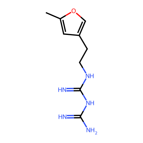 Cc1cc(CCNC(=N)NC(=N)N)co1